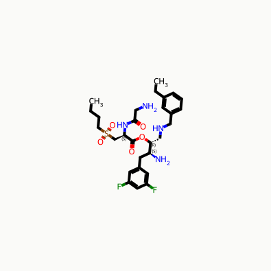 CCCCS(=O)(=O)C[C@@H](NC(=O)CN)C(=O)O[C@H](CNCc1cccc(CC)c1)[C@@H](N)Cc1cc(F)cc(F)c1